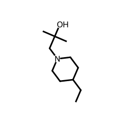 CCC1CCN(CC(C)(C)O)CC1